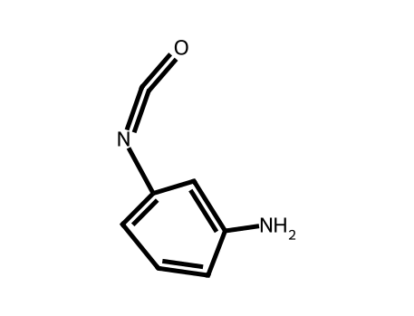 Nc1cccc(N=C=O)c1